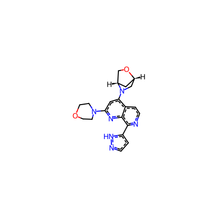 c1cc(-c2nccc3c(N4C[C@@H]5C[C@H]4CO5)cc(N4CCOCC4)nc23)[nH]n1